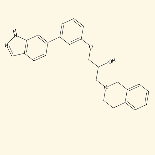 OC(COc1cccc(-c2ccc3cn[nH]c3c2)c1)CN1CCc2ccccc2C1